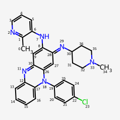 Cc1ncccc1Nc1cc2nc3ccccc3n(-c3ccc(Cl)cc3)c-2c/c1=N\C1CCN(C)CC1